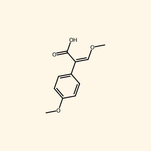 COC=C(C(=O)O)c1ccc(OC)cc1